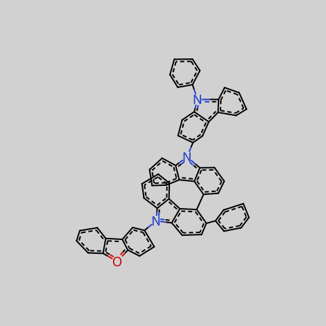 c1ccc(-c2ccc3c(c2-c2cccc4c2c2ccccc2n4-c2ccc4c(c2)c2ccccc2n4-c2ccccc2)c2ccccc2n3-c2ccc3oc4ccccc4c3c2)cc1